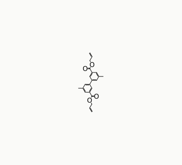 C=CCOC(=O)c1cc(C)cc(-c2cc(C)cc(C(=O)OCC=C)c2)c1